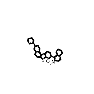 O=[N+]([O-])c1ccc2ccccc2c1-c1ccc2c(c1)sc1ccc3cc(-c4ccccc4)ccc3c12